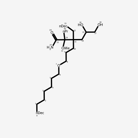 CCCCCCCCCCCCCCCCOCCCC(CCCCCCCCCCC)(CC(O)CO)C(CCC)(OC)C(N)=O